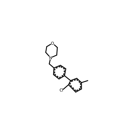 Cc1ccc(Cl)c(-c2ccc(CN3CCOCC3)cc2)c1